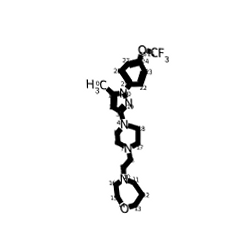 Cc1cc(N2CCN(CCN3CCCOCC3)CC2)nn1-c1ccc(OC(F)(F)F)cc1